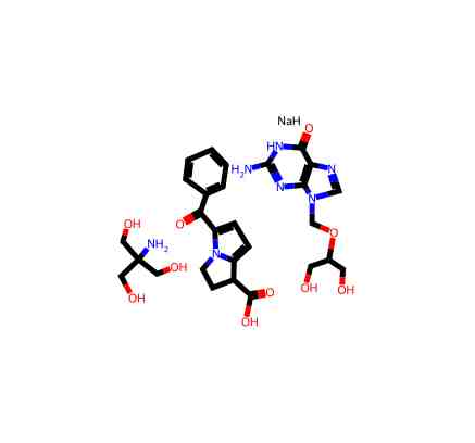 NC(CO)(CO)CO.Nc1nc2c(ncn2COC(CO)CO)c(=O)[nH]1.O=C(c1ccccc1)c1ccc2n1CCC2C(=O)O.[NaH]